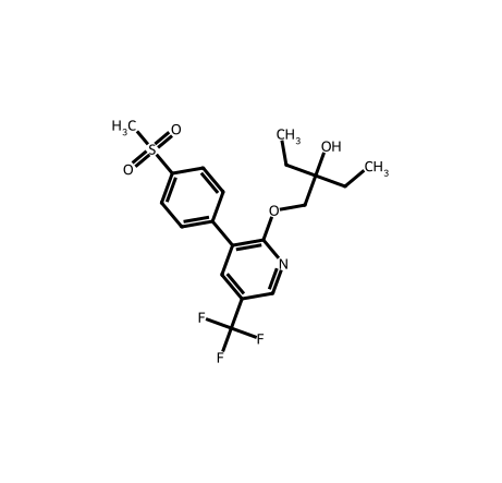 CCC(O)(CC)COc1ncc(C(F)(F)F)cc1-c1ccc(S(C)(=O)=O)cc1